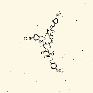 CC(=NC(=O)OCc1ccc([N+](=O)[O-])cc1)N1CC[C@H](SC(=O)C[C@@H]2[C@@H]([C@@H](C)OC(=O)OCc3ccc([N+](=O)[O-])cc3)C(=O)N2C(=O)C(=O)OCc2ccc([N+](=O)[O-])cc2)C1